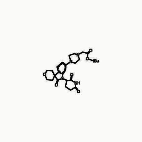 CC(C)(C)OC(=O)CN1CCN(c2ccc3c(c2)N(C2CCC(=O)NC2=O)C(=O)C32CCOCC2)CC1